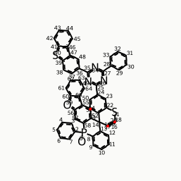 O=P1(c2ccccc2)c2ccccc2C2(c3ccccc3Sc3cc(-c4nc(-c5ccccc5)nc(-c5ccc6sc7ccccc7c6c5)n4)ccc32)c2cc3c(cc21)oc1ccccc13